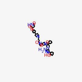 Nc1nnc(-c2ccccc2O)cc1N1CCC(C(=O)N2CCC3(CC2)CN(C(=O)CCCN2CCC(c4ccc(OC5CCC(=O)NC5=O)cc4)CC2)CCO3)(c2ccccc2)CC1